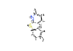 Cc1ccc2sc3nc(C)ccc3c2c1